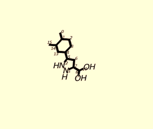 CC1CCC(C2CC(C(O)O)NN2)CC1C